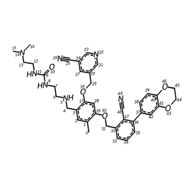 Cc1cc(CNCCNC(=O)NCCN(C)C)c(OCc2cncc(C#N)c2)cc1OCc1cccc(-c2ccc3c(c2)OCCO3)c1C#N